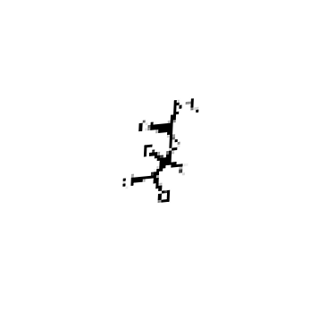 NC(=O)OC(F)(Cl)C(Cl)Cl